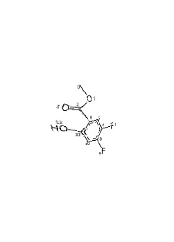 COC(=O)c1cc(F)c(F)cc1O